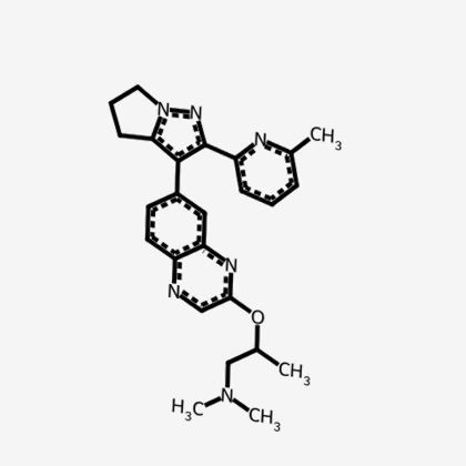 Cc1cccc(-c2nn3c(c2-c2ccc4ncc(OC(C)CN(C)C)nc4c2)CCC3)n1